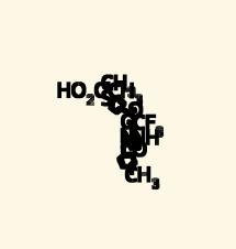 Cc1ccc(Cn2nc(C(OC(=O)c3ccc(SC(C)(C)C(=O)O)cc3)C(F)(F)F)[nH]c2=O)cc1